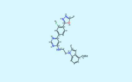 COc1cccc2c1cc(C)n2CCNc1cc(-c2ccc(-c3nnc(C)o3)c(F)c2)ncn1